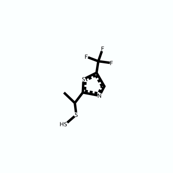 CC(SS)c1ncc(C(F)(F)F)s1